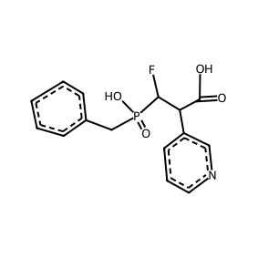 O=C(O)C(c1cccnc1)C(F)P(=O)(O)Cc1ccccc1